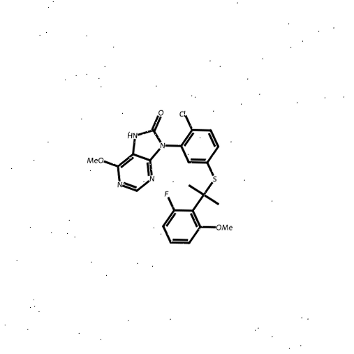 COc1cccc(F)c1C(C)(C)Sc1ccc(Cl)c(-n2c(=O)[nH]c3c(OC)ncnc32)c1